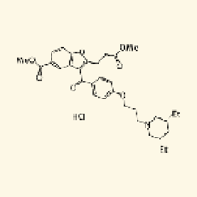 CC[C@@H]1C[C@H](CC)CN(CCCOc2ccc(C(=O)c3c(CCC(=O)OC)oc4ccc(C(=O)OC)cc34)cc2)C1.Cl